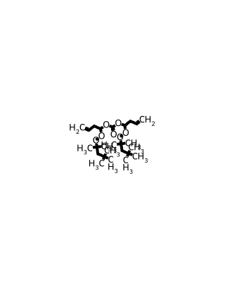 C=CCC(OOC(C)(C)CC(C)(C)C)OC(=O)OC(CC=C)OOC(C)(C)CC(C)(C)C